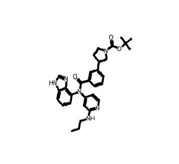 CCCNc1cc(N(C(=O)c2cccc(C3CCN(C(=O)OC(C)(C)C)C3)c2)c2cccc3[nH]cnc23)ccn1